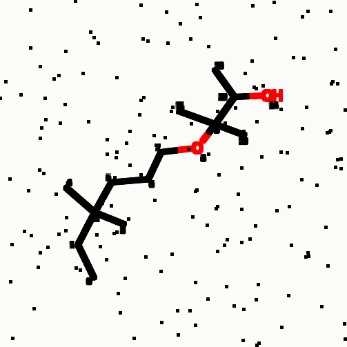 CCC(C)(C)CCCOC(C)(C)C(C)O